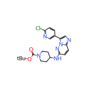 CC(C)(C)OC(=O)N1CCC(Nc2ccc3ncc(-c4ccc(Cl)nc4)n3n2)CC1